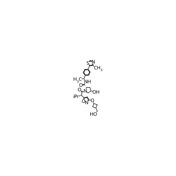 Cc1ncsc1-c1ccc([C@H](C)NC(=O)[C@@H]2C[C@@H](O)CN2C(=O)[C@@H](c2cc(OC3CC(CO)C3)no2)C(C)C)cc1